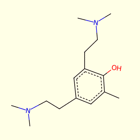 Cc1cc(CCN(C)C)cc(CCN(C)C)c1O